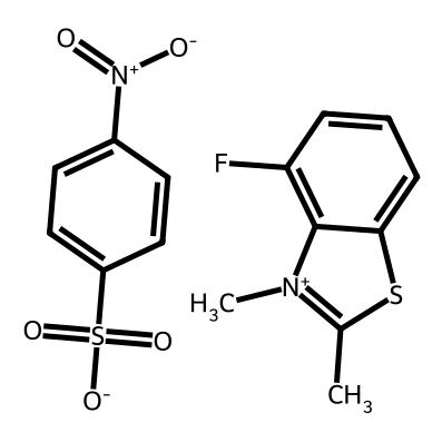 Cc1sc2cccc(F)c2[n+]1C.O=[N+]([O-])c1ccc(S(=O)(=O)[O-])cc1